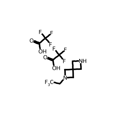 FC(F)(F)CN1CC2(CNC2)C1.O=C(O)C(F)(F)F.O=C(O)C(F)(F)F